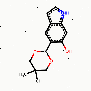 CC1(C)COB(c2cc3cc[nH]c3cc2O)OC1